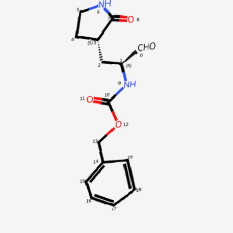 O=C[C@H](C[C@@H]1CCNC1=O)NC(=O)OCc1ccccc1